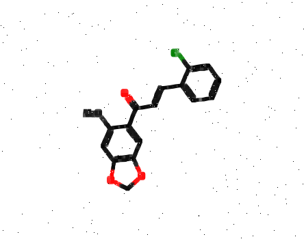 COc1cc2c(cc1C(=O)/C=C/c1ccccc1Cl)OCO2